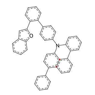 c1ccc(-c2ccc(N(c3ccc(-c4ccccc4-c4cc5ccccc5o4)cc3)c3ccccc3-c3ccccc3)cc2)cc1